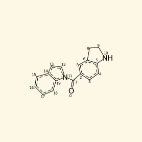 O=C(c1ccc2c(c1)CCN2)n1ccc2c[c]ccc21